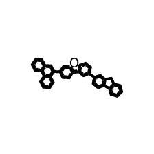 c1ccc2c(c1)Cc1cc(-c3ccc4oc5cc(-c6cc7ccccc7c7ccccc67)ccc5c4c3)ccc1-2